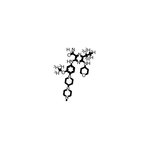 [2H]C([2H])([2H])Oc1cc(Nc2nc(NC3CCOCC3)c(C([2H])([2H])C([2H])([2H])[2H])nc2C(N)=O)ccc1N1CCC(N2CCN(C)CC2)CC1